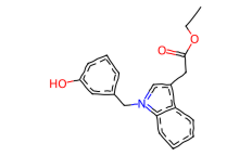 CCOC(=O)Cc1cn(Cc2cccc(O)c2)c2ccccc12